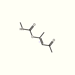 CNC(=O)O/C(C)=C/C(C)=O